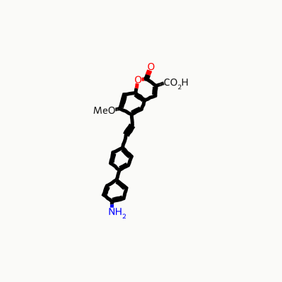 COc1cc2oc(=O)c(C(=O)O)cc2cc1C#Cc1ccc(-c2ccc(N)cc2)cc1